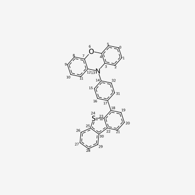 c1ccc2c(c1)Oc1ccccc1N2c1ccc(-c2cccc3c2sc2ccccc23)cc1